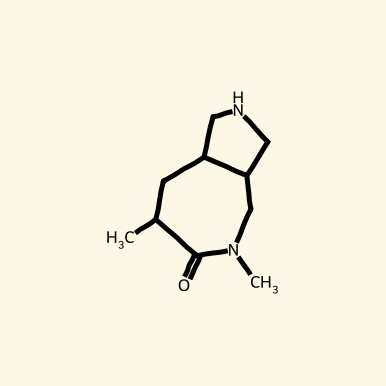 CC1CC2CNCC2CN(C)C1=O